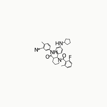 Cc1ccc(NC(=O)C2CCCN(C(=O)c3c(C)cccc3F)C2c2ccc(NC3CCCC3)cc2)cc1C#N